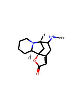 CCCNC1CC2=CC(=O)O[C@@]23C[C@@H]1N1CCCC[C@@H]13